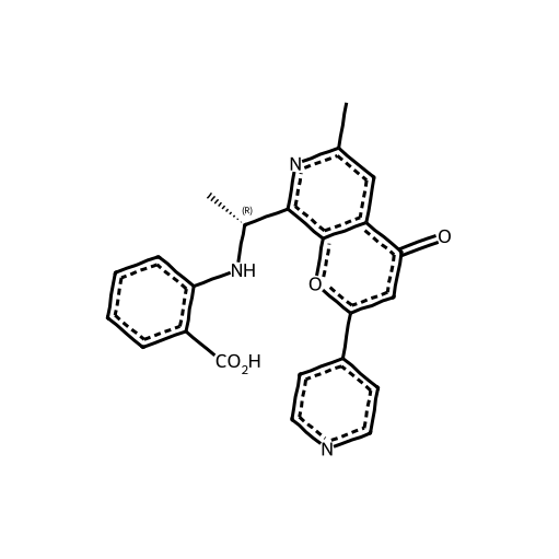 Cc1cc2c(=O)cc(-c3ccncc3)oc2c([C@@H](C)Nc2ccccc2C(=O)O)n1